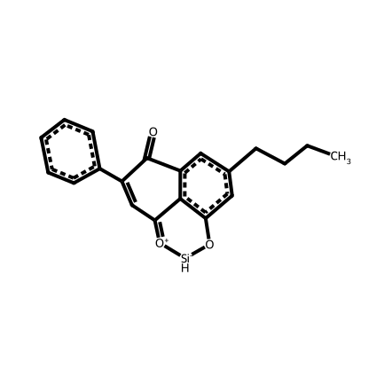 CCCCc1cc2c3c(c1)C(=O)C(c1ccccc1)=CC3=[O+][SiH-]O2